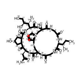 CC[C@H](C)[C@@H]1NC(=O)CNC(=O)[C@@H]2Cn3cc4ccccc4c3SC[C@H](NC(=O)CNC1=O)C(=O)N[C@@H](CC(N)=O)C(=O)C1C[C@H](O)C[C@H]1C(=O)N[C@@H]([C@@H](C)[C@@H](O)CO)C(=O)N2